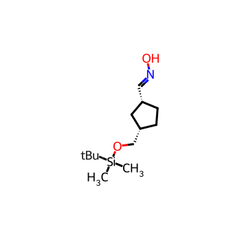 CC(C)(C)[Si](C)(C)OC[C@H]1CC[C@@H](C=NO)C1